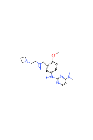 CNc1ccnc(Nc2ccc(OC)c(CNCCN3CCC3)c2)n1